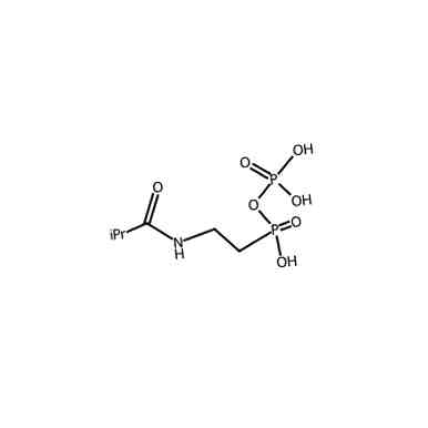 CC(C)C(=O)NCCP(=O)(O)OP(=O)(O)O